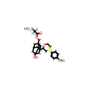 CC(C)(C)c1ccc([SH]2CCOC(C34CC5CC(O)(CC(COC(=O)C(F)(F)S(=O)(=O)O)(C5)C3)C4)C2)cc1